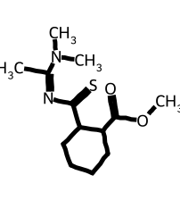 COC(=O)C1CCCCC1C(=S)N=C(C)N(C)C